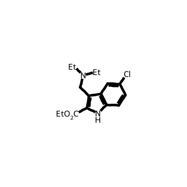 CCOC(=O)c1[nH]c2ccc(Cl)cc2c1CN(CC)CC